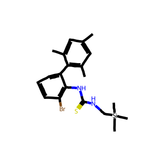 Cc1cc(C)c(-c2cccc(Br)c2NC(=S)NC[Si](C)(C)C)c(C)c1